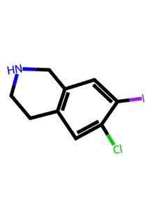 Clc1cc2c(cc1I)CNCC2